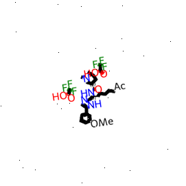 COc1cccc(-c2cnc([C@H](CCCCCC(C)=O)NC(=O)[C@H]3CCCN(C)C3)[nH]2)c1.O=C(O)C(F)(F)F.O=C(O)C(F)(F)F